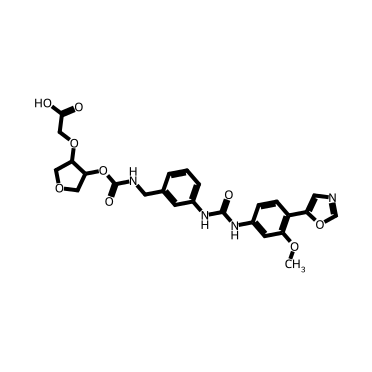 COc1cc(NC(=O)Nc2cccc(CNC(=O)OC3COCC3OCC(=O)O)c2)ccc1-c1cnco1